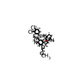 C=CC(=O)N1[C@@H]2CC[C@H]1CC(Oc1cc3c(Nc4ccc(Cl)c(Cl)c4F)ncnc3cc1OCCOC)C2